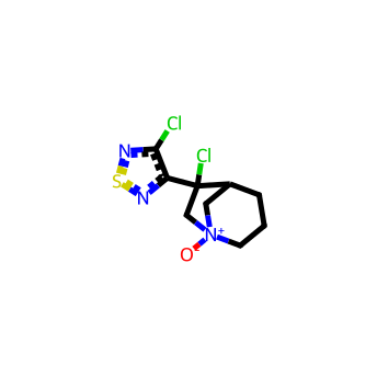 [O-][N+]12CCCC(C1)C(Cl)(c1nsnc1Cl)C2